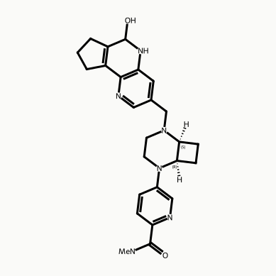 CNC(=O)c1ccc(N2CCN(Cc3cnc4c(c3)NC(O)C3=C4CCC3)[C@H]3CC[C@H]32)cn1